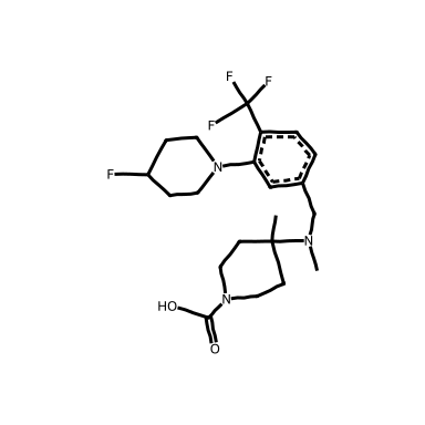 CN(Cc1ccc(C(F)(F)F)c(N2CCC(F)CC2)c1)C1(C)CCN(C(=O)O)CC1